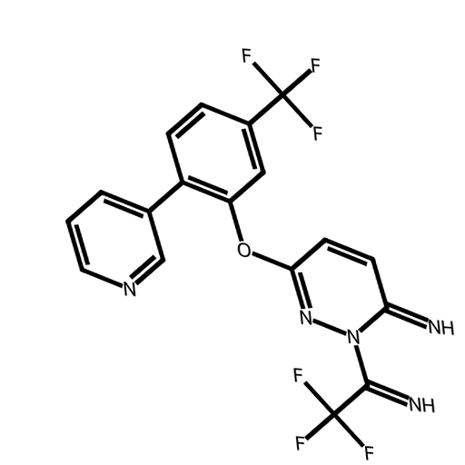 N=C(n1nc(Oc2cc(C(F)(F)F)ccc2-c2cccnc2)ccc1=N)C(F)(F)F